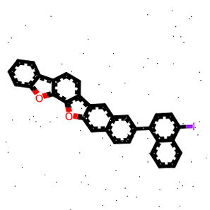 Ic1ccc(-c2ccc3cc4oc5c(ccc6c7ccccc7oc65)c4cc3c2)c2ccccc12